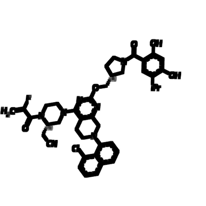 C=C(F)C(=O)N1CCN(c2nc(OC[C@@H]3CCN(C(=O)c4cc(C(C)C)c(O)cc4O)C3)nc3c2CCN(c2cccc4cccc(Cl)c24)C3)C[C@@H]1CC#N